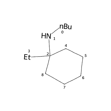 CCCCNC1(CC)CCCCC1